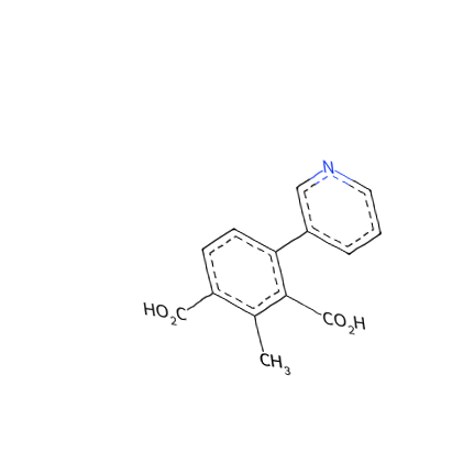 Cc1c(C(=O)O)ccc(-c2cccnc2)c1C(=O)O